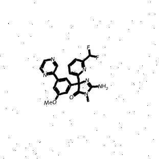 COc1cc(-c2cnccn2)cc(C2(c3cccc(C(F)F)n3)N=C(N)N(C)C2=O)c1